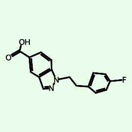 O=C(O)c1ccc2c(cnn2CCc2ccc(F)cc2)c1